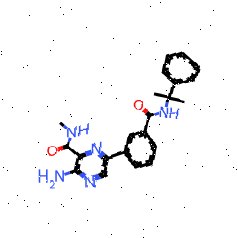 CNC(=O)c1nc(-c2cccc(C(=O)NC(C)(C)c3ccccc3)c2)cnc1N